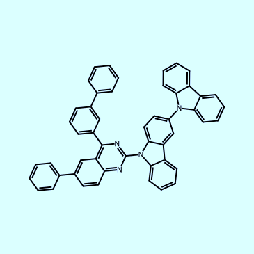 c1ccc(-c2cccc(-c3nc(-n4c5ccccc5c5cc(-n6c7ccccc7c7ccccc76)ccc54)nc4ccc(-c5ccccc5)cc34)c2)cc1